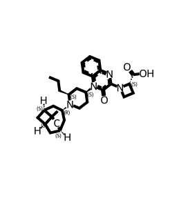 CCC[C@H]1C[C@@H](n2c(=O)c(N3CC[C@H]3C(=O)O)nc3ccccc32)CCN1[C@@H]1C[C@H]2C[C@H]3C[C@@H](C1)C3(C)C2